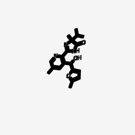 Cc1cnc(C2=NC(C)(C(C)C)C(=O)N2)c(C(O)c2ccc(C)o2)c1